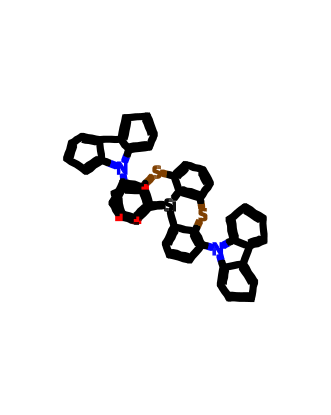 c1ccc([Si]23c4cccc(-n5c6ccccc6c6ccccc65)c4Sc4cccc(c42)Sc2c(-n4c5ccccc5c5ccccc54)cccc23)cc1